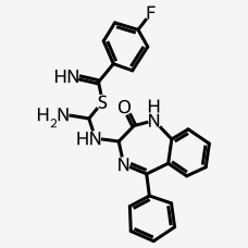 N=C(SC(N)NC1N=C(c2ccccc2)c2ccccc2NC1=O)c1ccc(F)cc1